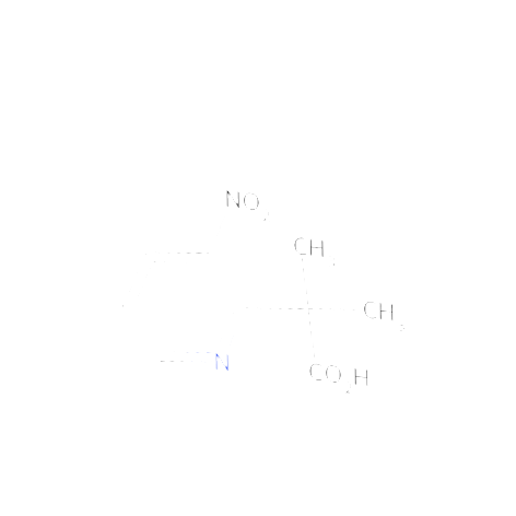 CC(C)(C(=O)O)c1ncccc1[N+](=O)[O-]